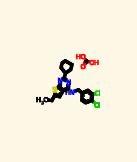 CCc1cc2c(NCc3ccc(Cl)c(Cl)c3)nc(C3CCCCC3)nc2s1.O=C(O)O